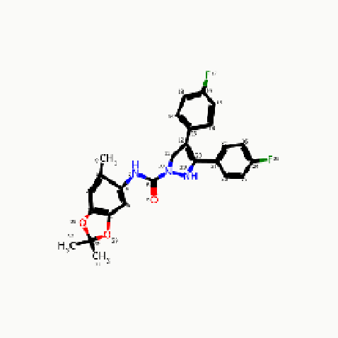 Cc1cc2c(cc1NC(=O)N1CC(c3ccc(F)cc3)=C(c3ccc(F)cc3)N1)OC(C)(C)O2